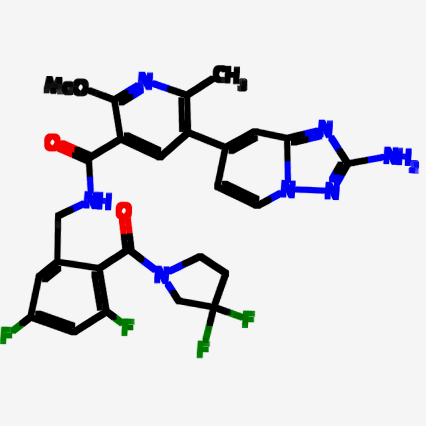 COc1nc(C)c(-c2ccn3nc(N)nc3c2)cc1C(=O)NCc1cc(F)cc(F)c1C(=O)N1CCC(F)(F)C1